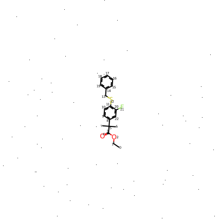 CCOC(=O)C(C)(C)c1ccc(SCc2ccccc2)c(F)c1